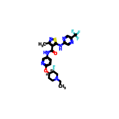 CCN1CC[C@@H](Oc2ccc(NC(=O)c3c(C)nsc3Nc3cnc(C(F)(F)F)cn3)cn2)[C@H](F)C1